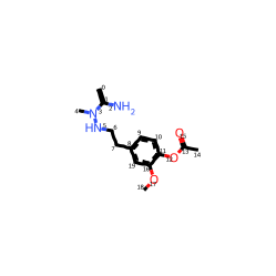 C=C(N)N(C)NCCc1ccc(OC(C)=O)c(OC)c1